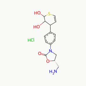 Cl.NC[C@H]1CN(c2ccc(C3C=CSC(O)C3O)cc2)C(=O)O1